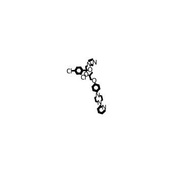 Clc1ccc(C2(Cn3ccnc3)OCC(COc3ccc(N4CCN(c5ccccn5)CC4)cc3)O2)c(Cl)c1